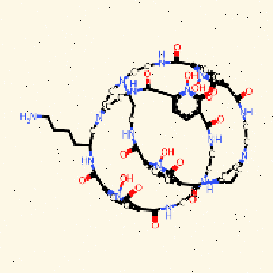 NCCCCC1CN2CCNC(=O)c3ccc(c(=O)n3O)C(=O)NCCN(CCNC(=O)c3ccc(n(O)c3=O)C(=O)N1)CCN1CCNC(=O)c3ccc(n(O)c3=O)C(=O)NCCN(CCNC(=O)c3ccc(c(=O)n3O)C(=O)NCC1)CC2